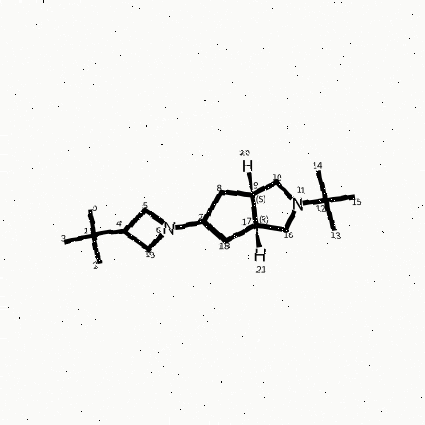 CC(C)(C)C1CN(C2C[C@@H]3CN(C(C)(C)C)C[C@@H]3C2)C1